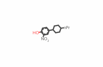 CCCC1CCC(c2ccc(O)c([N+](=O)[O-])c2)CC1